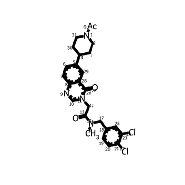 CC(=O)N1CCC(c2ccc3ncn(CC(=O)N(C)Cc4ccc(Cl)c(Cl)c4)c(=O)c3c2)CC1